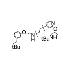 C[C@@H](CNC(C)(C)C)Oc1cc(C(C)(C)CCC(C)(C)NCCOc2cccc(CCC(C)(C)C)c2)ccn1